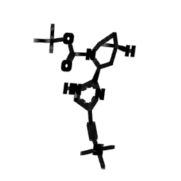 CC(C)(C)OC(=O)N1C2C[C@@H]2C[C@H]1c1nc(C#C[Si](C)(C)C)c[nH]1